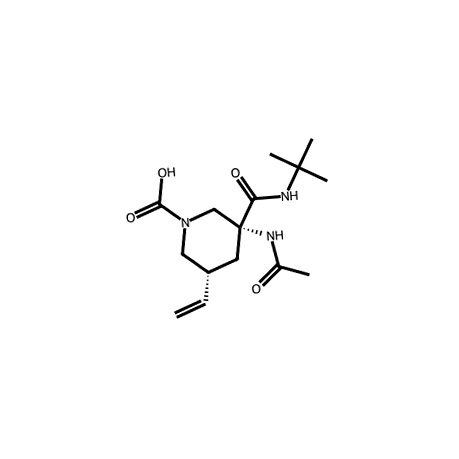 C=C[C@@H]1CN(C(=O)O)C[C@@](NC(C)=O)(C(=O)NC(C)(C)C)C1